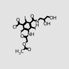 CC(=O)OCC(=O)Nc1c(I)c(C(=O)Cl)c(I)c(C(=O)NCC(O)CO)c1I